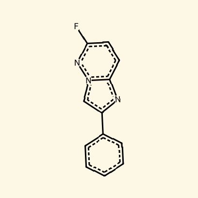 Fc1ccc2nc(-c3ccccc3)cn2n1